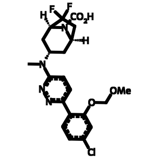 COCOc1cc(Cl)ccc1-c1ccc(N(C)[C@H]2C[C@@H]3CC(F)(F)[C@H](C2)N3C(=O)O)nn1